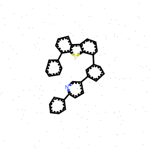 c1ccc(-c2ccc(-c3cccc(-c4cccc5c4sc4c(-c6ccccc6)cccc45)c3)cn2)cc1